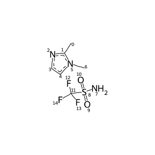 Cc1nccn1C.NS(=O)(=O)C(F)(F)F